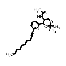 CCCCCCCCC#Cc1cccc(C2OC(C)(C)OCC2NC(C)=O)n1